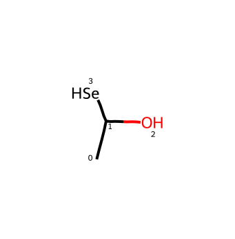 CC(O)[SeH]